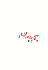 CCC(C)(CC(O)COCC(COC(C)(CC)CC1CO1)OCC1CO1)OCC(COCC1CO1)OCC1CO1